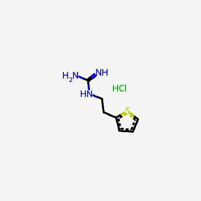 Cl.N=C(N)NCCc1cccs1